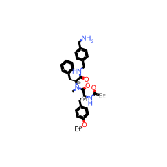 CCOc1ccc(C[C@@H](NC(=O)CC)C(=O)N(C)[C@@H](Cc2ccccc2)C(=O)NCc2ccc(CN)cc2)cc1